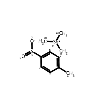 Cc1ccc(S(=O)[O-])cc1.[CH3][Sn+]([CH3])[CH3]